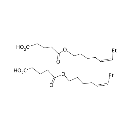 CC/C=C\CCCCOC(=O)CCCC(=O)O.CC/C=C\CCCCOC(=O)CCCC(=O)O